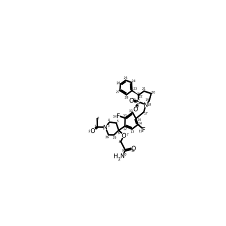 CC(=O)N1CCC(OCC(N)=O)(c2cc(F)c(CN3CCC[C@H](c4ccccc4)S3(=O)=O)cc2F)CC1